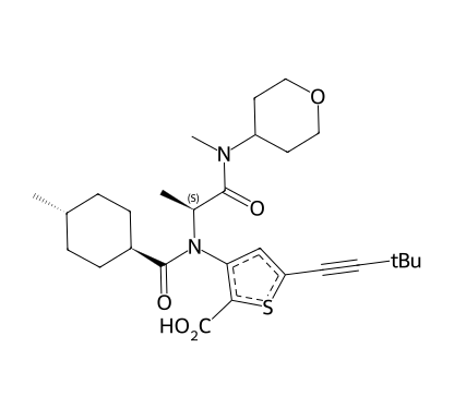 C[C@@H](C(=O)N(C)C1CCOCC1)N(c1cc(C#CC(C)(C)C)sc1C(=O)O)C(=O)[C@H]1CC[C@H](C)CC1